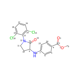 COC(=O)c1ccc(NC2CCN(c3c(Cl)cccc3Cl)C2=O)cc1